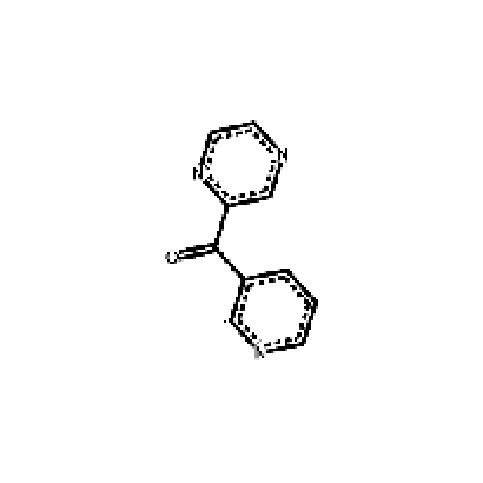 O=C(c1[c]nccc1)c1cnccn1